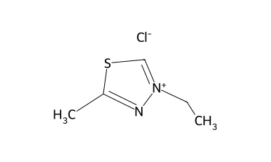 CC[n+]1csc(C)n1.[Cl-]